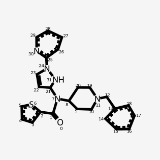 O=C(c1cccs1)N(C1CCN(Cc2ccccc2)CC1)C1C=CN(c2ccccn2)N1